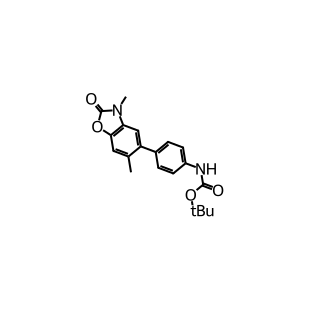 Cc1cc2oc(=O)n(C)c2cc1-c1ccc(NC(=O)OC(C)(C)C)cc1